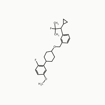 COc1ccc(F)c(C2CCC(OCc3cccc(C(C4CC4)C(C)(C)F)c3)CC2)c1